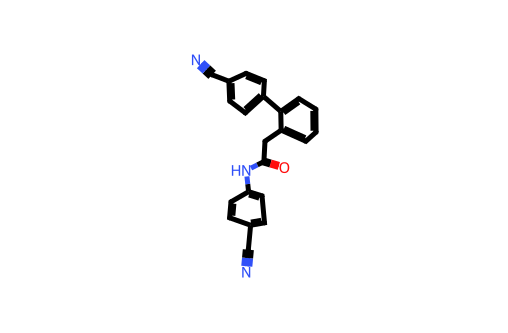 N#Cc1ccc(NC(=O)Cc2ccccc2-c2ccc(C#N)cc2)cc1